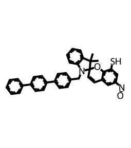 CC1(C)c2ccccc2N(Cc2ccc(-c3ccc(-c4ccccc4)cc3)cc2)C12C=Cc1cc(N=O)cc(S)c1O2